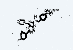 CNS(=O)(=O)c1ccc(CNc2nc(N3CCOCC3)c3nc(-c4ccc(F)cc4)nnc3n2)cc1